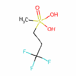 CS(=O)(O)(O)CCC(F)(F)F